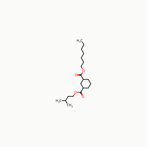 CCCCCCCOC(=O)C1CCCC(C(=O)OCCC(C)C)C1